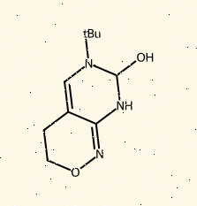 CC(C)(C)N1C=C2CCON=C2NC1O